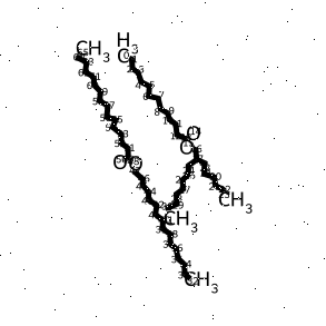 CCCCCCCCCCCCCC(=O)OCC(CCCCCC)CCCCCCCC.CCCCCCCCCCCCCCCCOC(=O)CCCCCCCCCCCCCCC